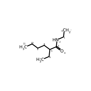 [CH2]CNC(=O)C(CC)CCCC